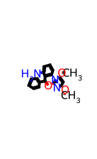 COc1cc(OC)nc(OC(c2ccccc2)c2ccccc2N)n1